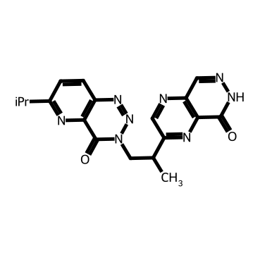 CC(C)c1ccc2nnn(CC(C)c3cnc4cn[nH]c(=O)c4n3)c(=O)c2n1